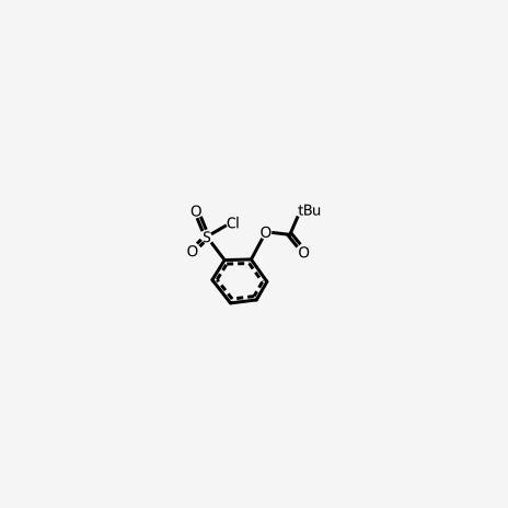 CC(C)(C)C(=O)Oc1ccccc1S(=O)(=O)Cl